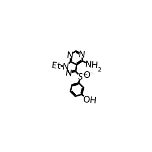 CCn1nc([S+]([O-])c2cccc(O)c2)c2c(N)ncnc21